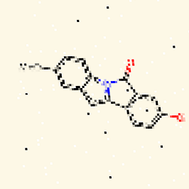 COc1ccc2c(c1)cc1n2C(=O)c2cc(O)ccc2-1